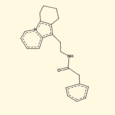 O=C(Cc1ccccc1)NCCc1c2c(n3ccccc13)CCCC2